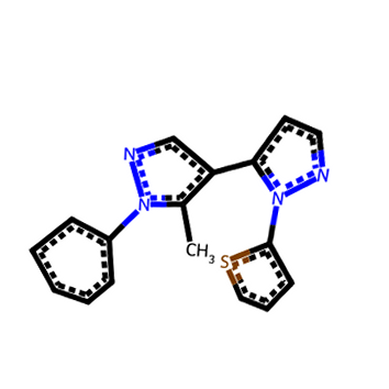 Cc1c(-c2ccnn2-c2cccs2)cnn1-c1ccccc1